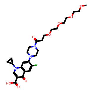 COCCOCCOCCOCCC(=O)N1CCN(c2cc3c(cc2F)c(=O)c(C(=O)O)cn3C2CC2)CC1